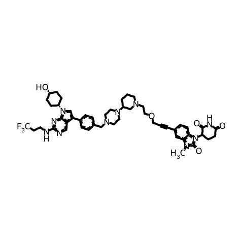 Cn1c(=O)n(C2CCC(=O)NC2=O)c2ccc(C#CCOCCN3CCCC(N4CCN(Cc5ccc(-c6cn([C@H]7CC[C@H](O)CC7)c7nc(NCCC(F)(F)F)ncc67)cc5)CC4)C3)cc21